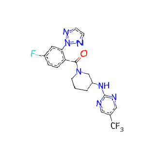 O=C(c1ccc(F)cc1-n1nccn1)N1CCCC(Nc2ncc(C(F)(F)F)cn2)C1